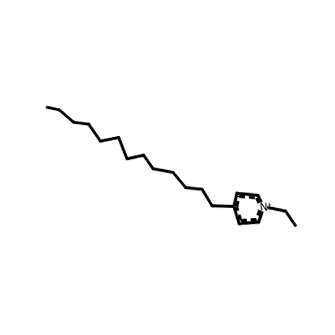 CCCCCCCCCCCCCc1cc[n+](CC)cc1